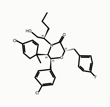 CCC[C@H](CO)N1C(=O)[C@H](Cc2ccc(F)cc2)O[C@@H](c2ccc(Cl)cc2)[C@H]1C1(C)C=CC(Cl)=CC1